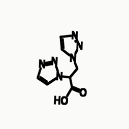 O=C(O)C(Cn1ccnn1)n1ccnn1